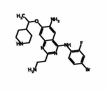 CC(Oc1cc2nc(CCN)nc(Nc3ccc(Br)cc3F)c2cc1N)C1CCNCC1